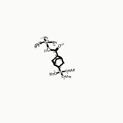 CO[Si](OC)(OC)C1CC2CC1CC2C(=O)O[Si](C(C)C)(C(C)C)C(C)C